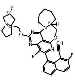 C#Cc1c(F)ccc2cccc(-c3nc4c5c(nc(OC[C@@]67CCCN6C[C@H](F)C7)nc5c3F)N3CCCCC[C@@H]3CO4)c12